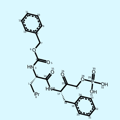 CC(C)C[C@H](NC(=O)OCc1ccccc1)C(=O)N[C@@H](Cc1ccccc1)C(=O)COP(=O)(O)O